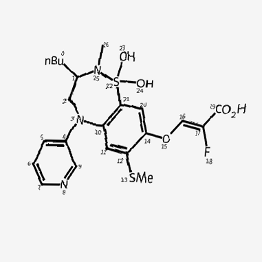 CCCCC1CN(c2cccnc2)c2cc(SC)c(O/C=C(\F)C(=O)O)cc2S(O)(O)N1C